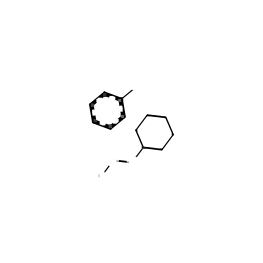 CC(C)(C)OOC1CCCCC1.CCc1ccccc1